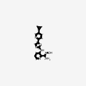 NC(=NO)c1ncccc1Nc1ncc(-c2ccc(C3CC3)cn2)o1